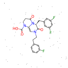 O=C1[C@H](Cc2cc(F)cc(F)c2)N2C(=O)CCN(C(=O)O)C2=CN1CCc1cccc(F)c1